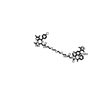 COc1cc2c(cc1-c1c(C)noc1C)ncc1c2n(C(C)c2ccccn2)c(=O)n1CC(=O)NCCOCCOCCOCCNC(=O)CC1N=C(c2ccc(Cl)cc2)c2c(sc(C)c2C)-n2c(C)nnc21